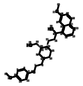 COc1ccc(SCCN2CC[C@@H](CCC(O)c3ccnc4ccc(OC)cc34)[C@@H](CO)C2)cc1